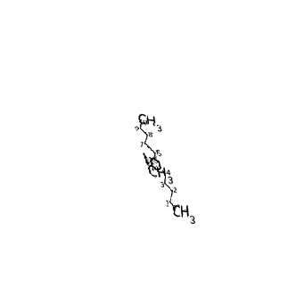 CCCCCOCCCCC.CI